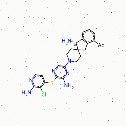 CC(=O)c1cccc2c1CC1(CCN(c3cnc(Sc4ccnc(N)c4Cl)c(N)n3)CC1)[C@@H]2N